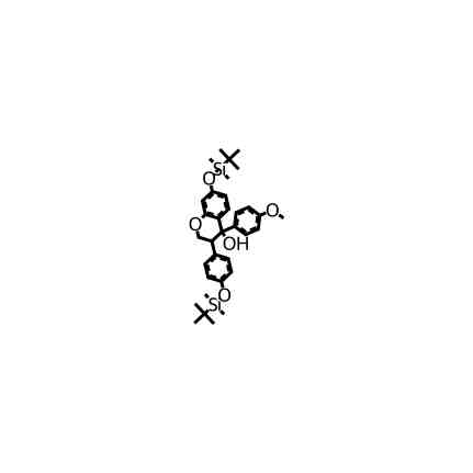 COc1ccc(C2(O)c3ccc(O[Si](C)(C)C(C)(C)C)cc3OCC2c2ccc(O[Si](C)(C)C(C)(C)C)cc2)cc1